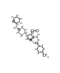 CC(CN(C)c1ccc(C(F)(F)F)cc1)n1ncc(C2CCN(Cc3ccccn3)CC2)c1C=O